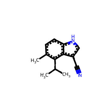 Cc1ccc2[nH]cc(C#N)c2c1C(C)C